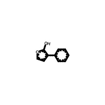 Oc1occc1-c1ccccc1